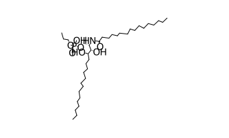 CCCCCCCCCCCCCCCC(=O)N[C@@H](COP(=O)(O)OCCC)[C@H](O)C(O)CCCCCCCCCCCCCC